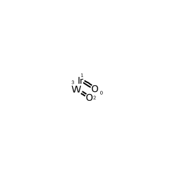 [O]=[Ir].[O]=[W]